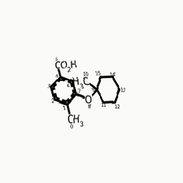 Cc1ccc(C(=O)O)cc1OC1(C)CCCCC1